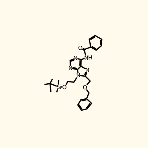 CC(C)(C)[Si](C)(C)OCCn1c(COCc2ccccc2)nc2c(NC(=O)c3ccccc3)ncnc21